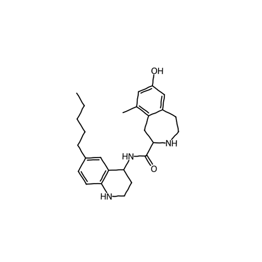 CCCCCc1ccc2c(c1)C(NC(=O)C1Cc3c(C)cc(O)cc3CCN1)CCN2